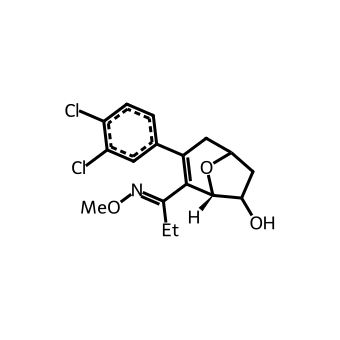 CCC(=NOC)C1=C(c2ccc(Cl)c(Cl)c2)CC2CC(O)[C@H]1O2